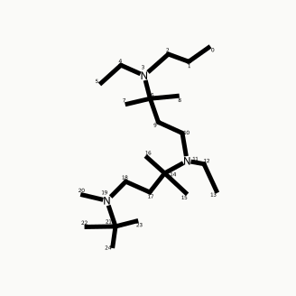 CCCN(CC)C(C)(C)CCN(CC)C(C)(C)CCN(C)C(C)(C)C